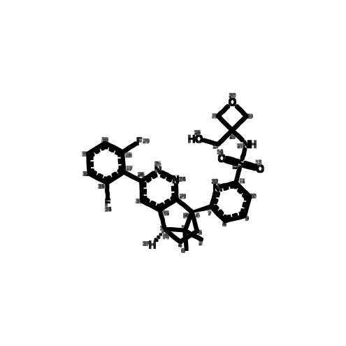 CC1(C)[C@H]2CC[C@@]1(c1cccc(S(=O)(=O)NC3(CO)COC3)n1)c1nnc(-c3c(F)cccc3F)cc12